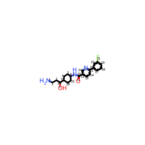 NCCC(O)C1CCC(NC(=O)c2ccc(-c3cccc(F)c3)nc2)CC1